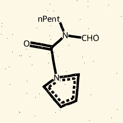 CCCCCN(C=O)C(=O)n1cccc1